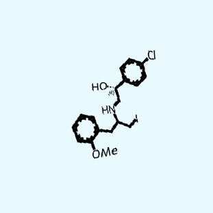 COc1ccccc1CC(CI)NC[C@H](O)c1ccc(Cl)cc1